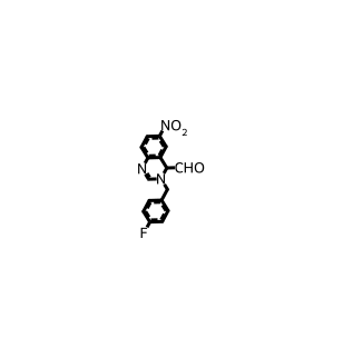 O=CC1c2cc([N+](=O)[O-])ccc2N=CN1Cc1ccc(F)cc1